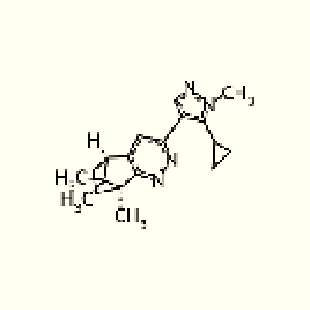 Cn1ncc(-c2cc3c(nn2)[C@@]2(C)CC[C@@H]3C2(C)C)c1C1CC1